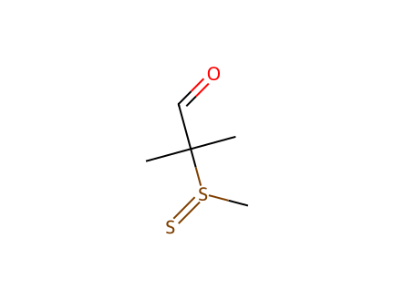 CS(=S)C(C)(C)C=O